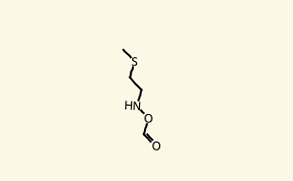 CSCCNOC=O